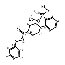 CCOP(=O)(OCC)c1ccccc1C1CCN(C(=O)OCc2ccccc2)CC1